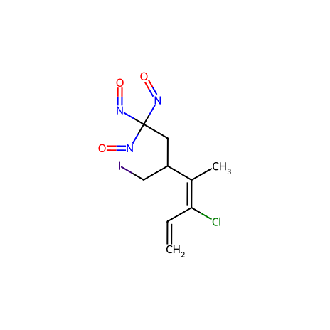 C=C/C(Cl)=C(/C)C(CI)CC(N=O)(N=O)N=O